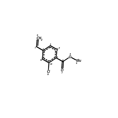 C=Cc1cnc(C(=O)OC(C)(C)C)c(Cl)c1